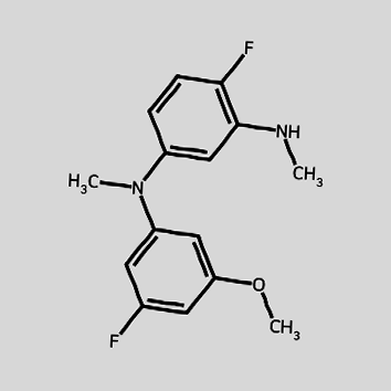 CNc1cc(N(C)c2cc(F)cc(OC)c2)ccc1F